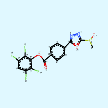 C[S+]([O-])c1nnc(-c2ccc(C(=O)Oc3c(F)c(F)cc(F)c3F)cc2)o1